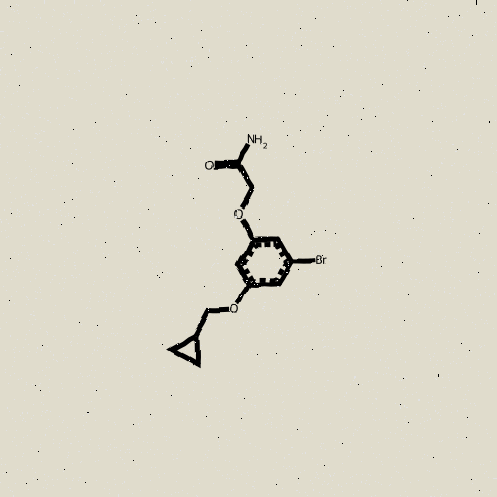 NC(=O)COc1cc(Br)cc(OCC2CC2)c1